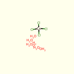 O.O.O.O.O.O.[Cl][Co]([Cl])([Cl])[Cl]